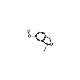 CCOc1ccc2c(c1)B(C)OC2